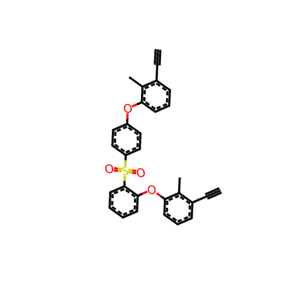 C#Cc1cccc(Oc2ccc(S(=O)(=O)c3ccccc3Oc3cccc(C#C)c3C)cc2)c1C